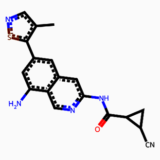 Cc1cnsc1-c1cc(N)c2cnc(NC(=O)C3CC3C#N)cc2c1